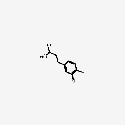 CCC(O)C[CH]c1ccc(F)c(Cl)c1